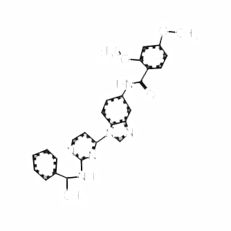 COc1ccc(C(=O)Nc2ccc3c(c2)ncn3-c2ccnc(NC(C)c3ccccc3)n2)c(OC)c1